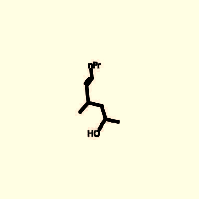 CCCC=CC(C)CC(C)O